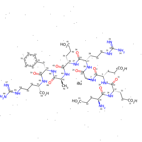 CC[C@H](C)[C@H](NC(=O)[C@H](CCC(=O)O)NC(=O)[C@H](CCC(=O)O)NC(=O)[C@@H](N)CCC(=O)O)C(=O)N[C@@H](CCCNC(=N)N)C(=O)N[C@@H](CCC(=O)O)C(=O)N[C@@H](C)C(=O)N[C@@H](Cc1ccccc1)C(=O)N[C@@H](CCCNC(=N)N)C(=O)O